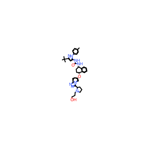 Cc1ccc(-n2nc(C(C)(C)C)cc2NC(=O)N[C@H]2CC[C@@H](Oc3ccc4nnc(C5CCCN5CCCO)n4c3)c3ccccc32)cc1